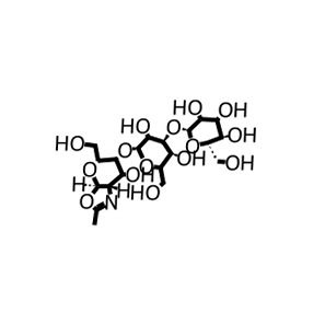 CC1=N[C@H]2C(O)[C@H](O[C@@H]3OC(CO)[C@@H](O)[C@H](O[C@H]4O[C@@H](CO)[C@@H](O)C(O)C4O)C3O)C(CO)O[C@@H]2O1